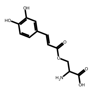 NC(COC(=O)/C=C/c1ccc(O)c(O)c1)C(=O)O